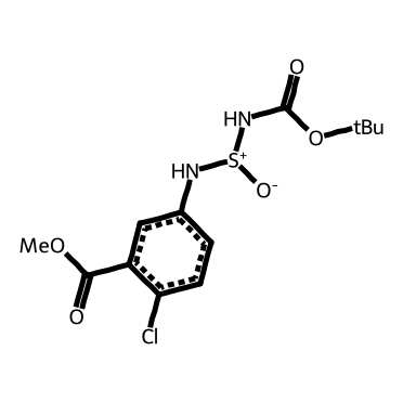 COC(=O)c1cc(N[S+]([O-])NC(=O)OC(C)(C)C)ccc1Cl